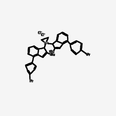 CC(C)c1ccc(-c2cccc3c2C=C(C(C)(C)C)[CH]3[Ti+2]2([CH]3C(C(C)(C)C)=Cc4c(-c5ccc(C(C)C)cc5)cccc43)[CH2][CH2]2)cc1.[Cl-].[Cl-]